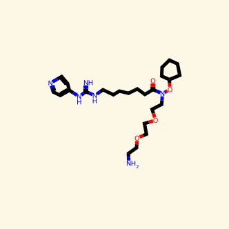 N=C(NCCCCCCC(=O)N(CCOCCOCCN)OC1CCCCC1)Nc1ccncc1